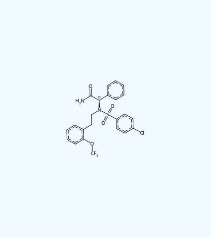 NC(=O)[C@@H](c1ccccc1)N(CCc1ccccc1OC(F)(F)F)S(=O)(=O)c1ccc(Cl)cc1